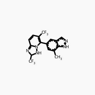 Cc1cc(C2=C(C(F)(F)F)C=CC3=NC(C(F)(F)F)NN32)cc2cn[nH]c12